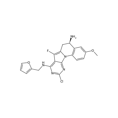 COc1ccc2c(c1)[C@H](N)Cc1c(F)c3c(NCc4ccco4)nc(Cl)nc3n1-2